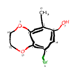 Cc1c(O)cc(Br)c2c1OCCO2